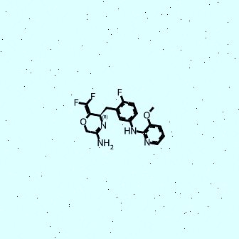 COc1cccnc1Nc1ccc(F)c(C[C@H]2N=C(N)COC2=C(F)F)c1